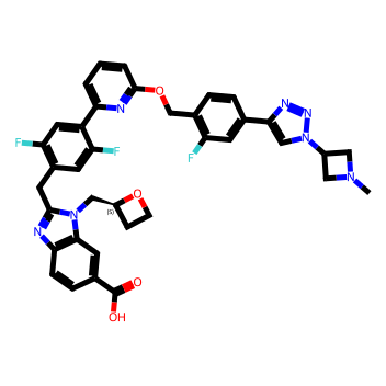 CN1CC(n2cc(-c3ccc(COc4cccc(-c5cc(F)c(Cc6nc7ccc(C(=O)O)cc7n6C[C@@H]6CCO6)cc5F)n4)c(F)c3)nn2)C1